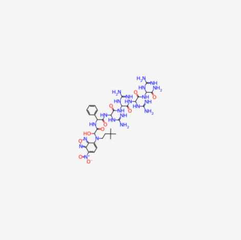 CC(C)(C)CCN(c1ccc([N+](=O)[O-])c2nonc12)C(O)C(=O)NC(C(=O)NC(NC(=N)N)C(=O)NC(NC(=N)N)C(=O)NC(NC(=N)N)C(=O)NC(NC(=N)N)C(N)=O)c1ccccc1